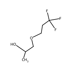 CC(O)COCCC(F)(F)F